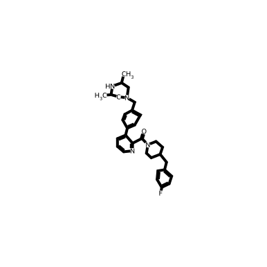 CC1CN(Cc2ccc(-c3cccnc3C(=O)N3CCC(Cc4ccc(F)cc4)CC3)cc2)CC(C)N1